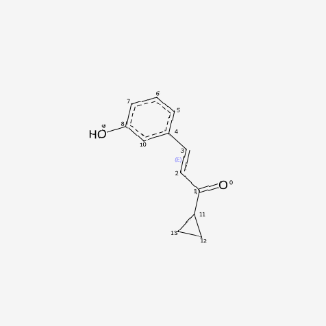 O=C(/C=C/c1cccc(O)c1)C1CC1